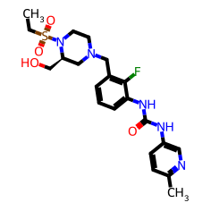 CCS(=O)(=O)N1CCN(Cc2cccc(NC(=O)Nc3ccc(C)nc3)c2F)C[C@H]1CO